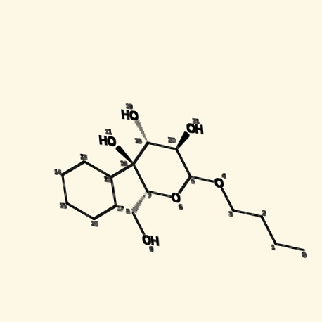 CCCCOC1O[C@H](CO)[C@](O)(C2CCCCC2)[C@H](O)[C@H]1O